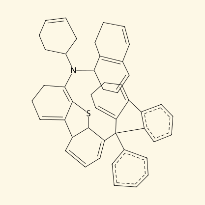 C1=CC2C3=CCCC(N(C4CC=CCC4)C4CC=CC5=C4CCC=C5)=C3SC2C(C2(c3ccccc3)C3=CCCC=C3c3ccccc32)=C1